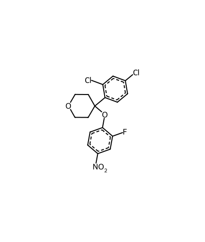 O=[N+]([O-])c1ccc(OC2(c3ccc(Cl)cc3Cl)CCOCC2)c(F)c1